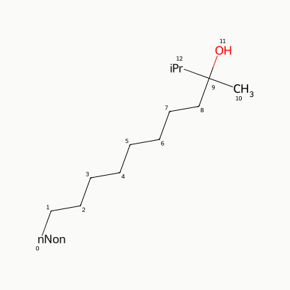 CCCCCCCCCCCCCCCCCC(C)(O)C(C)C